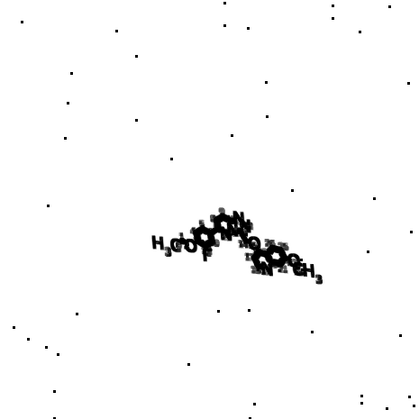 CCOc1ccc(-c2ccc3nnc(COc4ccnc5cc(OC)ccc45)n3n2)cc1F